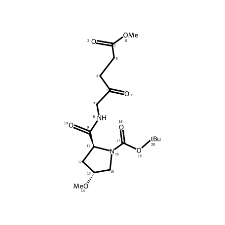 COC(=O)CCC(=O)CNC(=O)[C@@H]1C[C@@H](OC)CN1C(=O)OC(C)(C)C